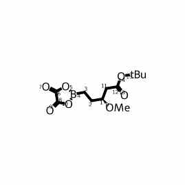 CO[C@@H](CCB1OC(=O)C(=O)O1)CC(=O)OC(C)(C)C